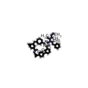 C=C/C(=C\C1CC1)C1=CC2=CC2C(CC2=CC=C(/C(N)=N/C(=N\Cc3cccc4c3oc3ccccc34)C(=C(/C)Cc3ccccc3)/C(CC)=C(C)/C=C\C)CCC2)=C1